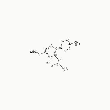 COCc1ccc(N2CCN(C)CC2)c2c1CCC(N)C2